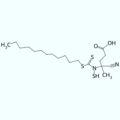 CCCCCCCCCCCCSC(=S)N(S)C(C)(C#N)CCC(=O)O